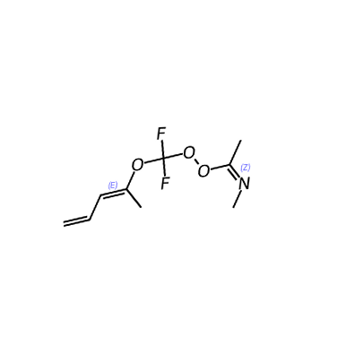 C=C/C=C(\C)OC(F)(F)OO/C(C)=N\C